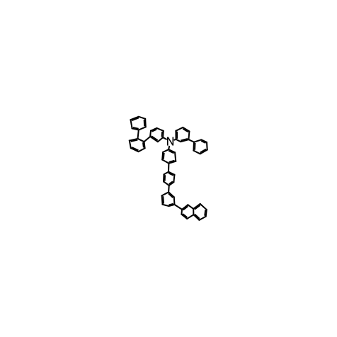 c1ccc(-c2cccc(N(c3ccc(-c4ccc(-c5cccc(-c6ccc7ccccc7c6)c5)cc4)cc3)c3cccc(-c4ccccc4-c4ccccc4)c3)c2)cc1